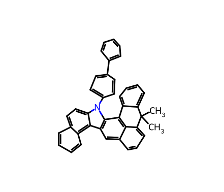 CC1(C)c2ccccc2-c2c3c1cccc3cc1c3c4ccccc4ccc3n(-c3ccc(-c4ccccc4)cc3)c21